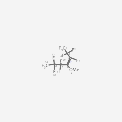 CO/C(=C(\F)C(F)(F)C(F)(F)F)C(F)(F)C(F)(F)C(F)(F)F